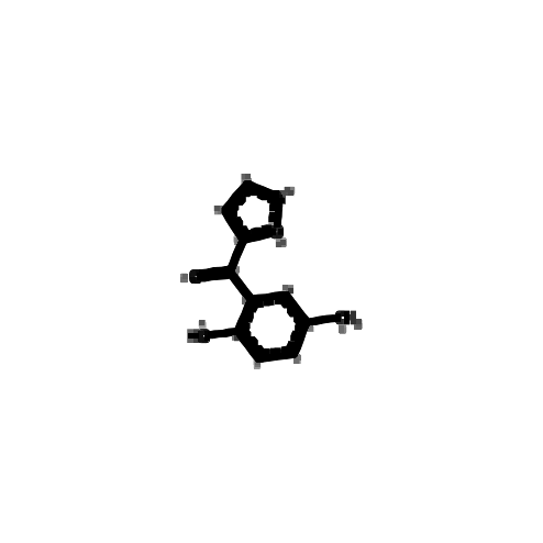 Cc1ccc(O)c(C(=O)c2ccno2)c1